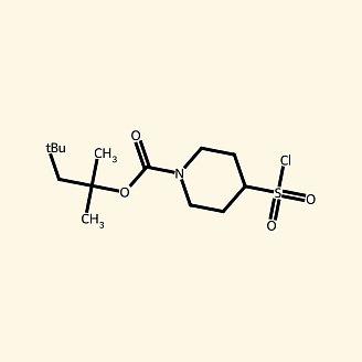 CC(C)(C)CC(C)(C)OC(=O)N1CCC(S(=O)(=O)Cl)CC1